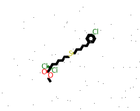 CCOC(=O)C(Cl)(Cl)CCCCCCSCCCCCc1ccc(Cl)cc1